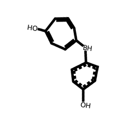 OC1=CC=C(Bc2ccc(O)cc2)C=C=C1